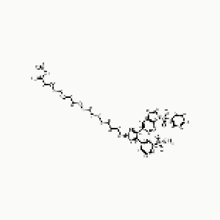 CC(C)(C)OC(=O)COCCOCCOCCOCCCCCCn1cc(-c2ccnc(S(C)(=O)=O)n2)c(-c2cnc3c(ccn3S(=O)(=O)c3ccccc3)c2)n1